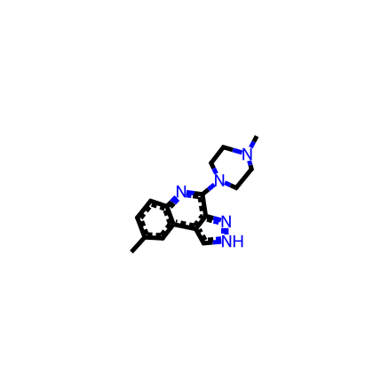 Cc1ccc2nc(N3CCN(C)CC3)c3n[nH]cc3c2c1